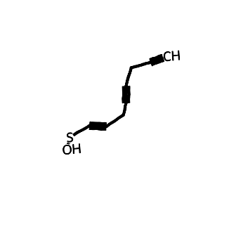 C#CCC#CCC#CSO